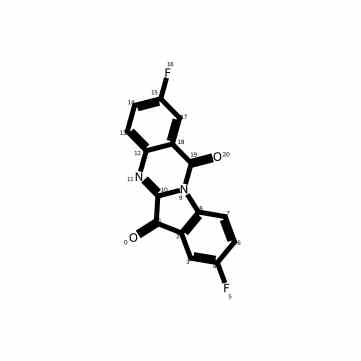 O=C1c2cc(F)ccc2-n2c1nc1ccc(F)cc1c2=O